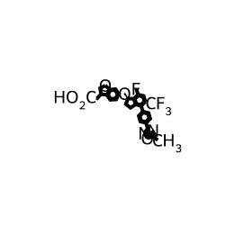 Cc1nc(-c2ccc(-c3c(C(F)(F)F)cc(F)c4c3CC[C@H]4Oc3ccc4c(c3)OCC4CC(=O)O)cc2)no1